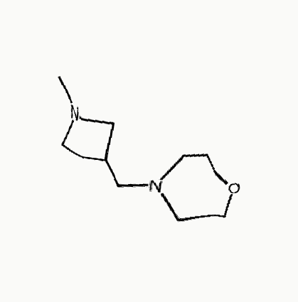 CN1CC(CN2CCOCC2)C1